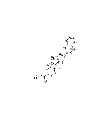 CCC(O)N1CCC2(CC1)C[C@@]2(C(=O)O)c1ccc(C2CNc3ccccc3C2)cc1